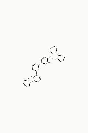 c1cc(-c2ccc3c(c2)OB2c4ccccc4-c4ccccc4N23)cc(-c2cccc3c2sc2ccccc23)c1